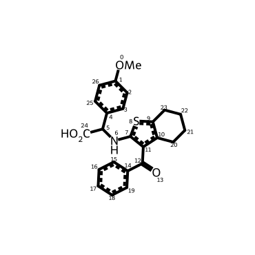 COc1ccc(C(Nc2sc3c(c2C(=O)c2ccccc2)CCCC3)C(=O)O)cc1